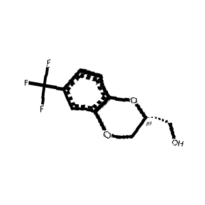 OC[C@@H]1COc2cc(C(F)(F)F)ccc2O1